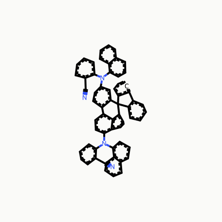 N#Cc1ccccc1N(c1ccc2c(c1)C1(c3ccccc3-c3ccccc31)c1cccc3c(N(c4ccccc4C#N)c4cccc5ccccc45)ccc-2c13)c1cccc2ccccc12